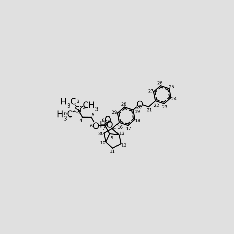 C[Si](C)(C)CCOC(=O)C1C2CCC1C(O)(c1ccc(OCc3ccccc3)cc1)C2